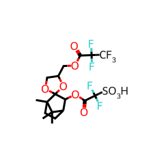 CC1(C)C2CCC1(C)C1(OCC(COC(=O)C(F)(F)C(F)(F)F)O1)C2OC(=O)C(F)(F)S(=O)(=O)O